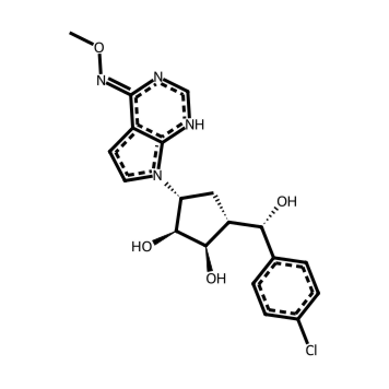 CO/N=c1\nc[nH]c2c1ccn2[C@@H]1C[C@H]([C@H](O)c2ccc(Cl)cc2)[C@@H](O)[C@H]1O